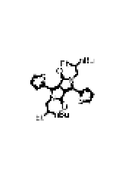 CCCCC(CC)CN1C(=O)C2=C(c3cccs3)N(CC(CC)CCCC)C(=O)C2=C1c1cccs1